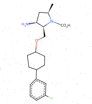 C[C@@H]1C[C@H](N)[C@H](COC2CCC(c3cccc(F)c3)CC2)N1C(=O)O